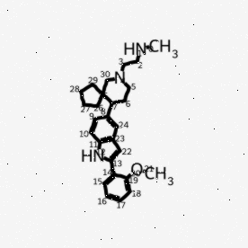 CNCCN1CCC(c2ccc3[nH]c(-c4ccccc4OC)cc3c2)C2(CCCC2)C1